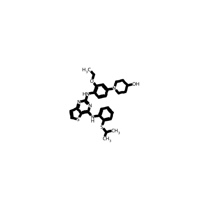 CCOc1cc(N2CCC(O)CC2)ccc1Nc1nc(Nc2ccccc2SC(C)C)c2sccc2n1